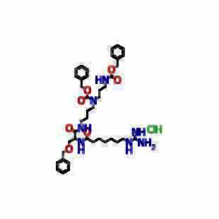 Cl.N=C(N)NCCCCCCC(=O)N[C@@H](COCc1ccccc1)C(=O)NCCCCN(CCCNC(=O)OCc1ccccc1)C(=O)OCc1ccccc1